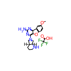 COc1ccc2oc3c(N4C[C@H]5CCCN[C@H]5C4)nc(N)nc3c2c1.O=C(O)C(F)(F)F